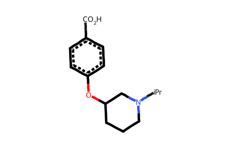 CC(C)N1CCCC(Oc2ccc(C(=O)O)cc2)C1